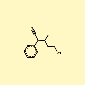 CC(CCO)C(C#N)c1ccccc1